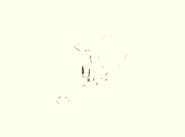 CC(C)[C@](C)(NC(=O)OCc1ccccc1)C(=O)NC(C(=O)O)C(c1ccccc1)c1ccccc1